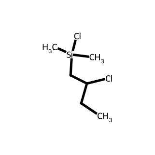 CCC(Cl)C[Si](C)(C)Cl